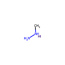 CNN.I